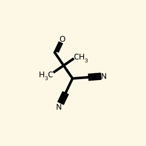 CC(C)(C=O)C(C#N)C#N